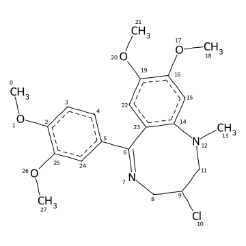 COc1ccc(C2=NCC(Cl)CN(C)c3cc(OC)c(OC)cc32)cc1OC